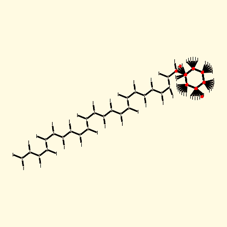 II(I)I(I)I(I)I(I)I(I)I(I)I(I)I(I)I(I)I(I)I(I)I(I)I(I)I(I)I(I)I(I)I(I)I(I)I(I)I(I)I(I)I(I)I(I)I(I)I(I)I(I)I(I)I(I)I(I)I(I)I(I)I(I)I(I)I(I)I(I)I(I)I(I)I(I)I(I)I(I)I(I)I(I)I(I)I(I)I(I)I(I)I(I)I(I)I(I)I(I)I(I)I(I)I(I)I(I)I(I)I(I)I(I)I(I)I(I)I(I)I(I)I(I)I(I)I